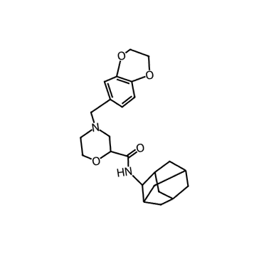 O=C(NC1C2CC3CC(C2)CC1C3)C1CN(Cc2ccc3c(c2)OCCO3)CCO1